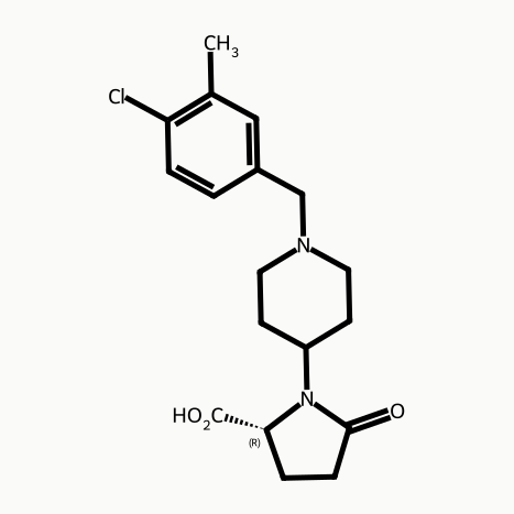 Cc1cc(CN2CCC(N3C(=O)CC[C@@H]3C(=O)O)CC2)ccc1Cl